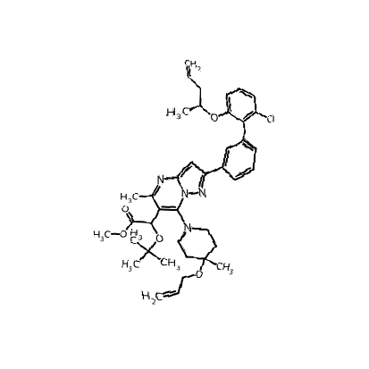 C=CCOC1(C)CCN(c2c(C(OC(C)(C)C)C(=O)OC)c(C)nc3cc(-c4cccc(-c5c(Cl)cccc5O[C@@H](C)CC=C)c4)nn23)CC1